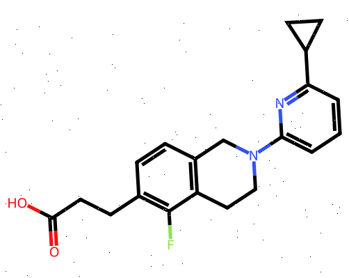 O=C(O)CCc1ccc2c(c1F)CCN(c1cccc(C3CC3)n1)C2